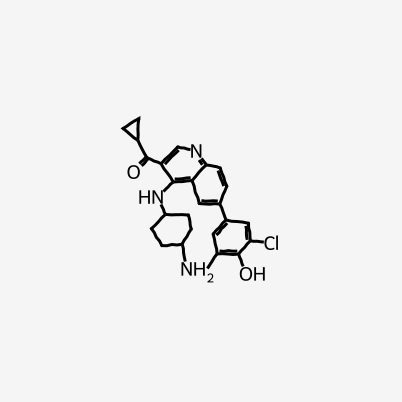 Cc1cc(-c2ccc3ncc(C(=O)C4CC4)c(NC4CCC(N)CC4)c3c2)cc(Cl)c1O